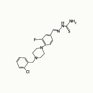 NC(=S)NN=Cc1ccc(N2CCN(Cc3ccccc3Cl)CC2)c(F)c1